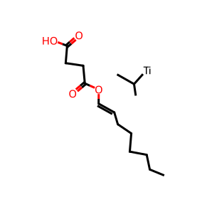 CCCCCCC=COC(=O)CCC(=O)O.C[CH](C)[Ti]